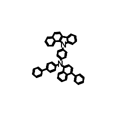 c1ccc(-c2ccc(N(c3ccc(-n4c5ccccc5c5ccc6ccccc6c54)cc3)c3ccc(-c4ccccc4)c4ccccc34)cc2)cc1